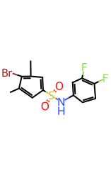 Cc1cc(S(=O)(=O)Nc2ccc(F)c(F)c2)cc(C)c1Br